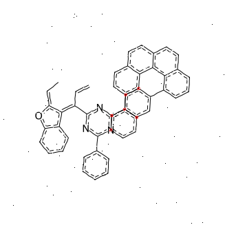 C=C/C(c1nc(-c2ccccc2)nc(-c2ccc(-c3cccc4ccc5ccc6ccc(-c7ccccc7)cc6c5c34)cc2)n1)=c1\c(=C/C)oc2ccccc12